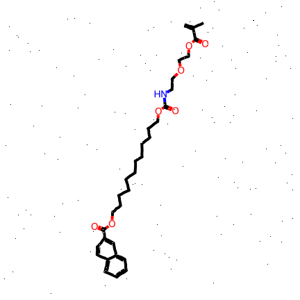 C=C(C)C(=O)OCCOCCNC(=O)OCCCCCCCCCCCCOC(=O)c1ccc2ccccc2c1